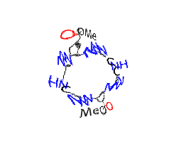 COC(=O)c1cc2cc(c1)-n1cc(nn1)CNCc1cn(nn1)-c1cc(C(=O)OC)cc(c1)-n1cc(nn1)CNCc1cn-2nn1